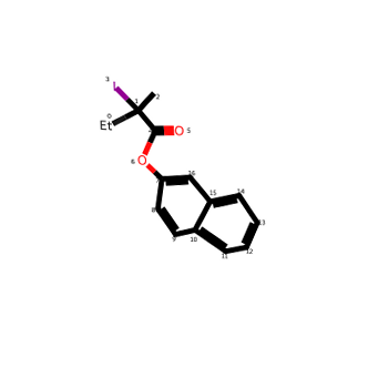 CCC(C)(I)C(=O)Oc1ccc2ccccc2c1